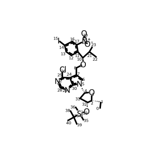 CC[C@H]1O[C@@H](n2cc(CO[C@@H](c3ccc(I)cc3[N+](=O)[O-])C(C)C)c3c(Cl)ncnc32)C[C@H]1O[Si](C)(C)C(C)(C)C